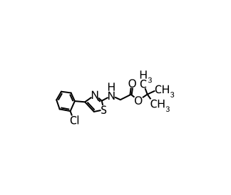 CC(C)(C)OC(=O)CNc1nc(-c2ccccc2Cl)cs1